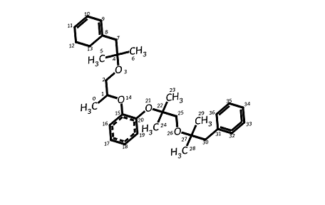 CC(COC(C)(C)CC1=CC=CCC1)Oc1ccccc1OC(C)(C)COC(C)(C)CC1=C=C=CC=C1